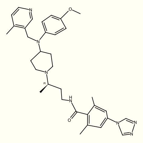 COc1ccc(N(Cc2cnccc2C)C2CCN([C@H](C)CCNC(=O)c3c(C)cc(-n4cnnc4)cc3C)CC2)cc1